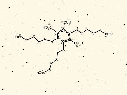 CCCCCCCCCCCCCCCc1c(CCCCCCCCCCCCCCC)c(C(=O)O)c(C(=O)O)c(CCCCCCCCCCCCCCC)c1C(=O)O